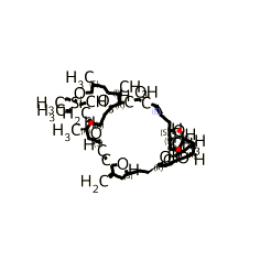 C=C1C[C@@H]2CC[C@@]34C[C@H]5O[C@@H]6[C@@H](O[C@@H](C/C=C/CC(O)C[C@H]7C(C[C@H]8O[C@@H](CCC1O2)C[C@@H](C)C8=C)OC(C[C@H](C)CO[Si](CC)(CC)CC)[C@@H]7C)[C@H](C)[C@@H]6O3)[C@H]5O4